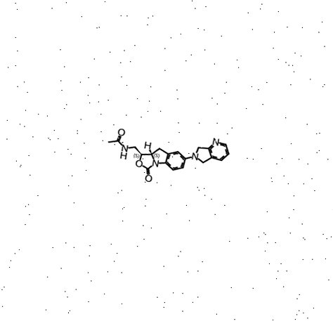 CC(=O)NC[C@@H]1OC(=O)N2c3ccc(N4Cc5cccnc5C4)cc3C[C@@H]12